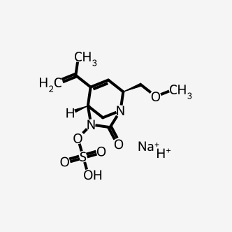 C=C(C)C1=C[C@@H](COC)N2C[C@@H]1N(OS(=O)(=O)O)C2=O.[H+].[Na+]